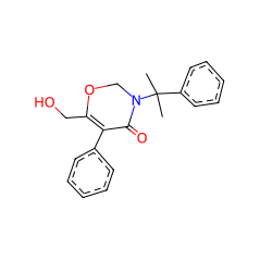 CC(C)(c1ccccc1)N1COC(CO)=C(c2ccccc2)C1=O